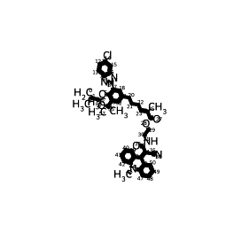 C=C(C)C(=O)Oc1c(-n2nc3ccc(Cl)cc3n2)cc(CCCC=C(C)C(=O)OCCNC(=O)C(C#N)=C2c3ccccc3N(C)c3ccccc32)cc1C(C)(C)C